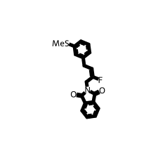 CSc1cccc(C/C=C(/F)CN2C(=O)c3ccccc3C2=O)c1